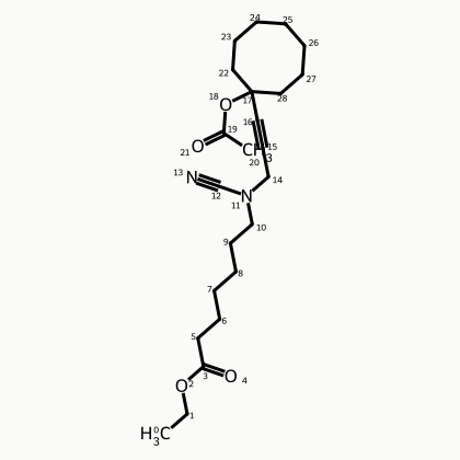 CCOC(=O)CCCCCCN(C#N)CC#CC1(OC(C)=O)CCCCCCC1